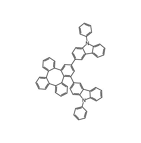 c1ccc(-n2c3ccccc3c3cc(-c4cc(-c5ccc6c(c5)c5ccccc5n6-c5ccccc5)c5c(c4)-c4ccccc4-c4ccccc4-c4ccccc4-5)ccc32)cc1